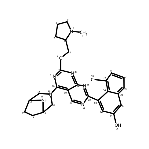 CN1CCCC1COc1nc(N2CC3CCC(C2)N3)c2cnc(-c3cc(O)cc4cccc(Cl)c34)nc2n1